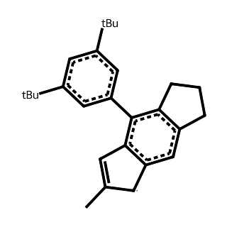 CC1=Cc2c(cc3c(c2-c2cc(C(C)(C)C)cc(C(C)(C)C)c2)CCC3)[CH]1